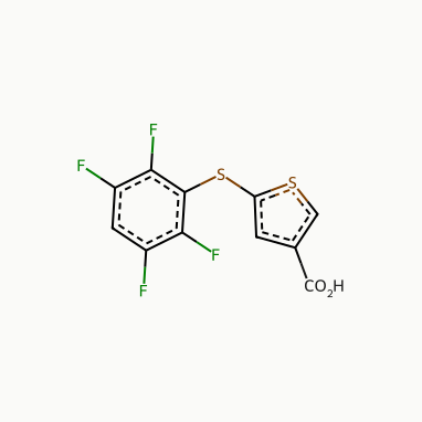 O=C(O)c1csc(Sc2c(F)c(F)cc(F)c2F)c1